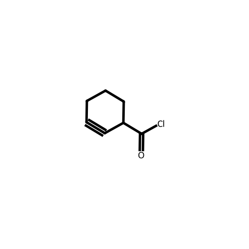 O=C(Cl)C1C#CCCC1